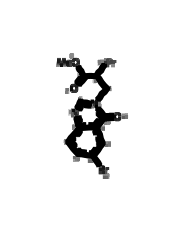 COC(=O)C(Cn1cnc2ccc(Br)cc2c1=O)C(C)C